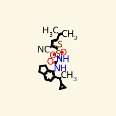 C=C(C)c1cc(C#N)c(S(=O)(=O)NC(=O)Nc2c(C(C)C3CC3)ccc3c2CCC3)s1